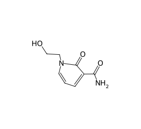 NC(=O)c1cccn(CCO)c1=O